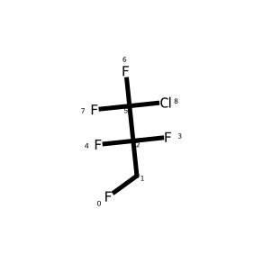 FCC(F)(F)C(F)(F)Cl